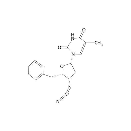 Cc1cn([C@@H]2C[C@H](N=[N+]=[N-])[C@H](Cc3[c]cccc3)O2)c(=O)[nH]c1=O